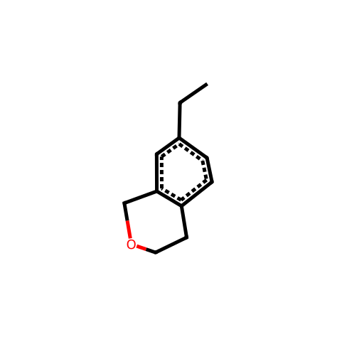 CCc1ccc2c(c1)COCC2